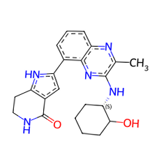 Cc1nc2cccc(-c3cc4c([nH]3)CCNC4=O)c2nc1N[C@H]1CCCCC1O